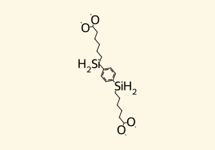 COC(CCCCC[SiH2]c1ccc([SiH2]CCCCCC(OC)OC)cc1)OC